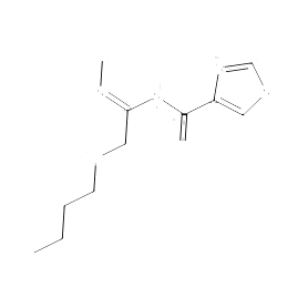 CCCCOC/C(=N/C)NC(=O)c1c[nH]cn1